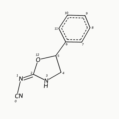 N#C/N=C1\NCC(c2ccccc2)O1